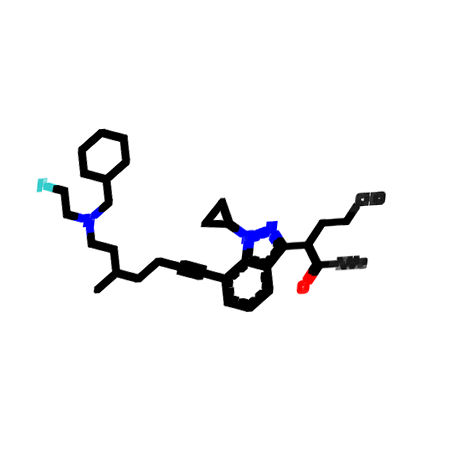 CNC(=O)C(CCC=O)c1nn(C2CC2)c2c(C#CCCC(C)CCN(CCF)CC3CCCCC3)cccc12